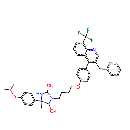 CC(C)Oc1ccc(C2(C)NC(O)N(CCCCOc3ccc(-c4c(Cc5ccccc5)cnc5c(C(F)(F)F)cccc45)cc3)C2O)cc1